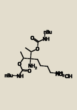 CCCCNC(=O)OC(C)C(N)(CCCCN)C(C)OC(=O)NCCCC.Cl.Cl